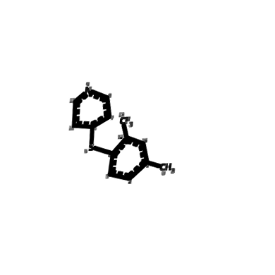 Cc1ccc(Sc2ccncc2)c(C(F)(F)F)c1